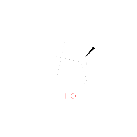 C[C@@H](CO)C(C)(C)C